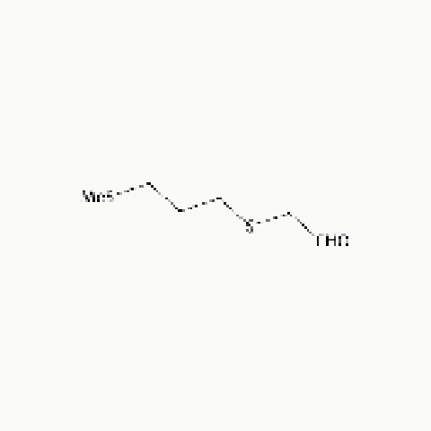 CSCCCSCC=O